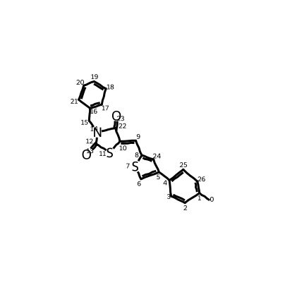 Cc1ccc(-c2csc(/C=C3\SC(=O)N(Cc4ccccc4)C3=O)c2)cc1